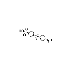 CNc1ccc(S(=O)(=O)c2ccc(S(=O)(=O)O)cc2)cc1